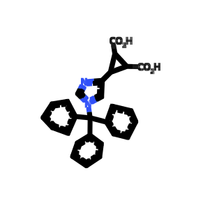 O=C(O)C1C(C(=O)O)C1c1cn(C(c2ccccc2)(c2ccccc2)c2ccccc2)cn1